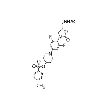 CC(=O)NCC1CN(c2c(F)cc(N3CCC(OS(=O)(=O)c4ccc(C)cc4)CC3)cc2F)C(=O)O1